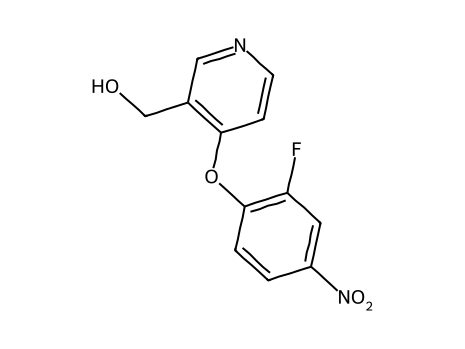 O=[N+]([O-])c1ccc(Oc2ccncc2CO)c(F)c1